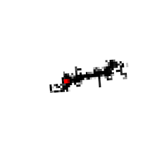 CC(C)(CO[Si](C)(C)C(C)(C)C)C(O)(CCC(=O)NCCSSCCNC(=O)CCC(O)(C(N)=O)C(C)(C)CO[Si](C)(C)C(C)(C)C)C(N)=O